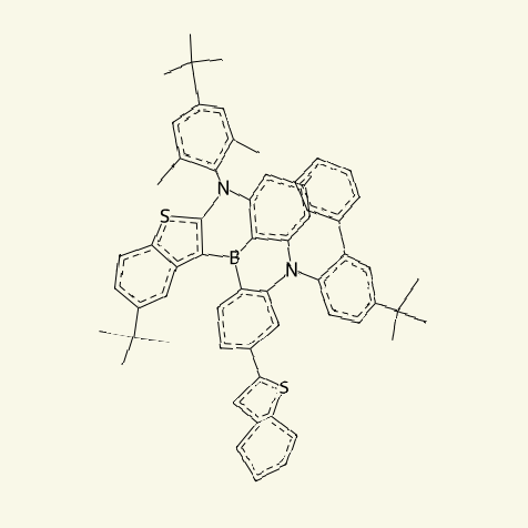 Cc1cc2c3c(c1)N(c1c(C)cc(C(C)(C)C)cc1C)c1sc4ccc(C(C)(C)C)cc4c1B3c1ccc(-c3cc4ccccc4s3)cc1N2c1ccc(C(C)(C)C)cc1-c1ccccc1